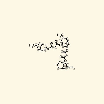 CC1C=C2CC(OC(=O)CC(=O)OC34CCCC(CC(C)C3)C4)CC(OC(=O)CC(=O)OC3CC4CC(C)CC(C4)C3)(C2)C1